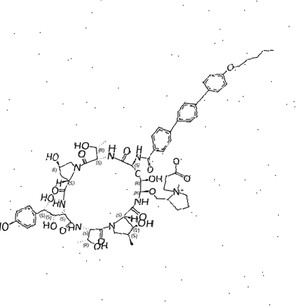 CCCCCOc1ccc(-c2ccc(-c3ccc(C(=O)N[C@H]4C[C@@H](O)[C@@H](OCC5CCC[N+]5(C)CCC(=O)[O-])NC(=O)[C@@H]5[C@@H](O)[C@@H](C)CN5C(=O)[C@H]([C@@H](C)O)NC(=O)[C@H]([C@H](O)[C@@H](O)c5ccc(O)cc5)NC(=O)[C@@H]5C[C@@H](O)CN5C(=O)[C@H]([C@@H](C)O)NC4=O)cc3)cc2)cc1